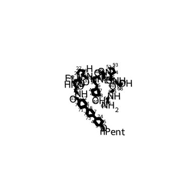 CCCCCOc1ccc(-c2ccc(-c3ccc(C(=O)NCC(=O)NC(CC)C(=O)N4CCCC4C(=O)NC(CCc4ccc(O)cc4)C(=O)NC(CC)C(=O)N4C[C@H](C)CC4C(=O)NC(OCCNCCN)[C@@H](C)O)cc3)cc2)cc1